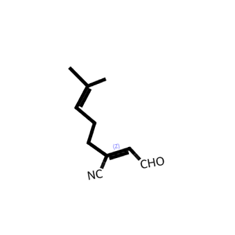 CC(C)=CCC/C(C#N)=C/C=O